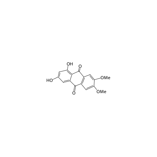 COc1cc2c(cc1OC)C(=O)c1c(O)cc(O)cc1C2=O